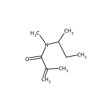 C=C(C)C(=O)N(C)C(C)CC